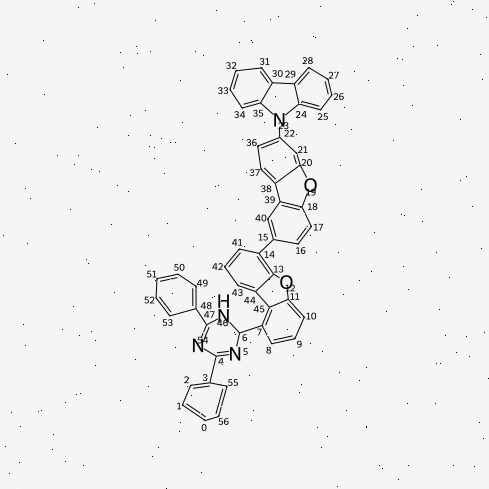 c1ccc(C2=NC(c3cccc4oc5c(-c6ccc7oc8cc(-n9c%10ccccc%10c%10ccccc%109)ccc8c7c6)cccc5c34)NC(c3ccccc3)=N2)cc1